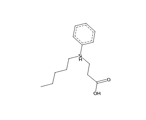 CCCCC[SiH](CCC(=O)O)c1ccccc1